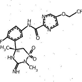 CN1C(=N)N[C@](C)(c2cc(NC(=O)c3ncc(OCC(F)(F)F)cn3)ccc2F)CS1(=O)=O